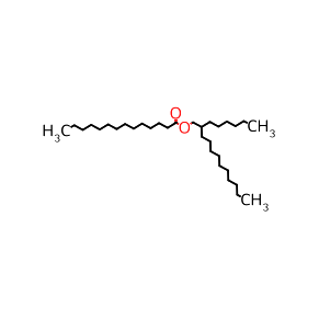 CCCCCCCCCCCCCC(=O)OCC(CCCCCC)CCCCCCCCCC